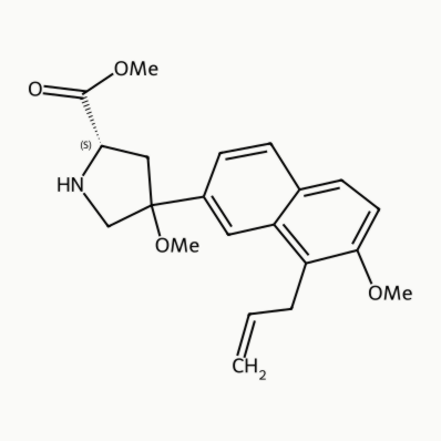 C=CCc1c(OC)ccc2ccc(C3(OC)CN[C@H](C(=O)OC)C3)cc12